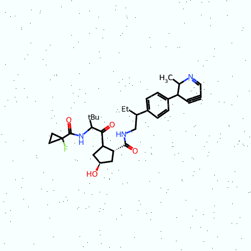 CCC(CNC(=O)[C@@H]1C[C@@H](O)CC1C(=O)C(NC(=O)C1(F)CC1)C(C)(C)C)c1ccc(C2C#CC=NC2C)cc1